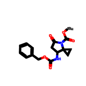 CC(C)(C)OC(=O)N1C(=O)CC(NC(=O)OCc2ccccc2)C12CC2